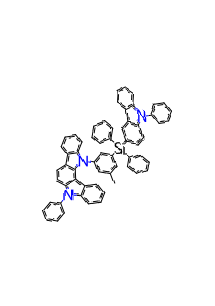 Cc1cc(-n2c3ccccc3c3ccc4c(c5ccccc5n4-c4ccccc4)c32)cc([Si](c2ccccc2)(c2ccccc2)c2ccc3c(c2)c2ccccc2n3-c2ccccc2)c1